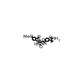 COc1ccc2c(c1)C(=O)N(C[C@@]1(c3cc4cc(C5(C(N)=O)CC5)ccc4o3)NC(=O)NC1=O)C2